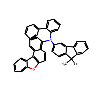 CC1(C)c2ccccc2-c2cc(N(c3ccccc3-c3ccccc3)c3cccc4c3ccc3oc5ccccc5c34)ccc21